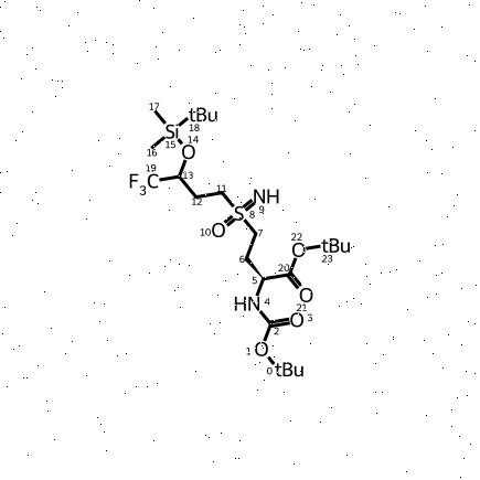 CC(C)(C)OC(=O)N[C@@H](CCS(=N)(=O)CCC(O[Si](C)(C)C(C)(C)C)C(F)(F)F)C(=O)OC(C)(C)C